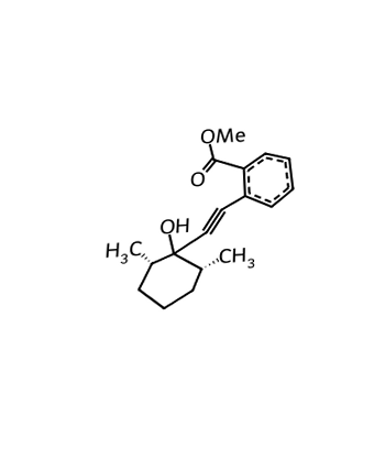 COC(=O)c1ccccc1C#CC1(O)[C@H](C)CCC[C@@H]1C